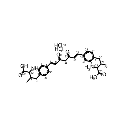 CC(Cc1ccc(C=CC(=O)CC(=O)C=Cc2ccc(CC(C)C(N)C(=O)O)cc2)cc1)C(N)C(=O)O.Cl.Cl